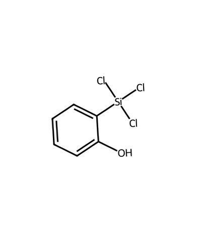 Oc1ccccc1[Si](Cl)(Cl)Cl